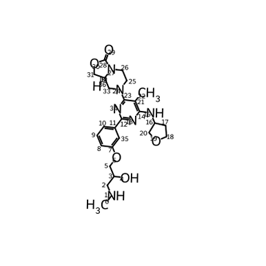 CNCC(O)COc1cccc(-c2nc(NC3CCOC3)c(C)c(N3CCN4C(=O)OC[C@@H]4C3)n2)c1